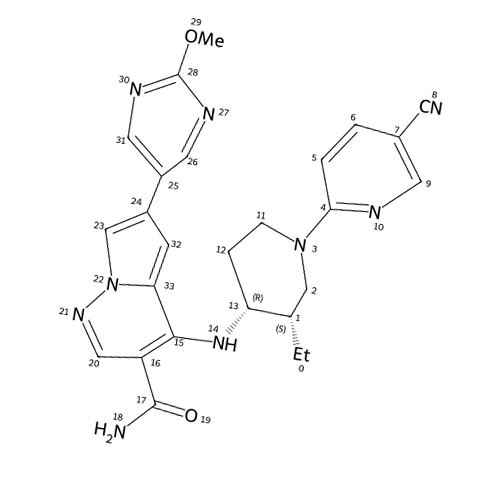 CC[C@H]1CN(c2ccc(C#N)cn2)CC[C@H]1Nc1c(C(N)=O)cnn2cc(-c3cnc(OC)nc3)cc12